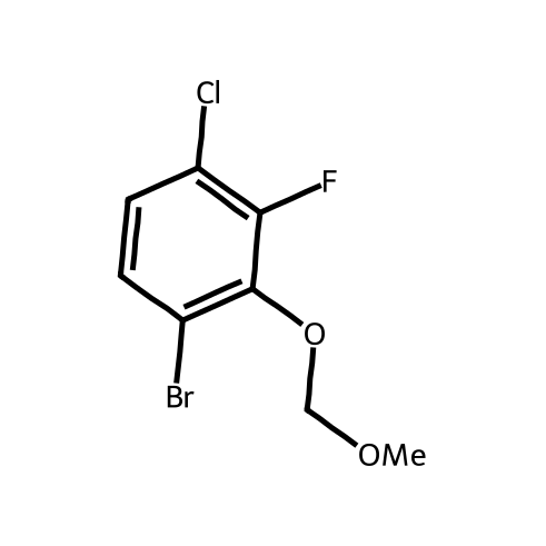 COCOc1c(Br)ccc(Cl)c1F